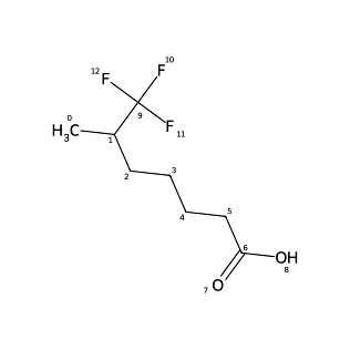 CC(CCCCC(=O)O)C(F)(F)F